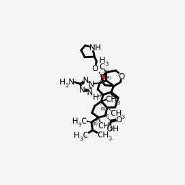 CC(C)[C@@H](C)[C@@]1(C)CC[C@]2(C)[C@H]3CC[C@@H]4C5(COC[C@]4(C)[C@@H](OCC4CCCN4)[C@H](n4nnc(N)n4)C5)C3=CC[C@@]2(C)[C@@H]1C(=O)O